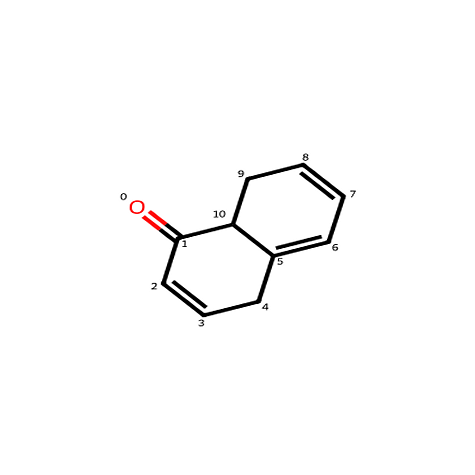 O=C1C=CCC2=CC=CCC12